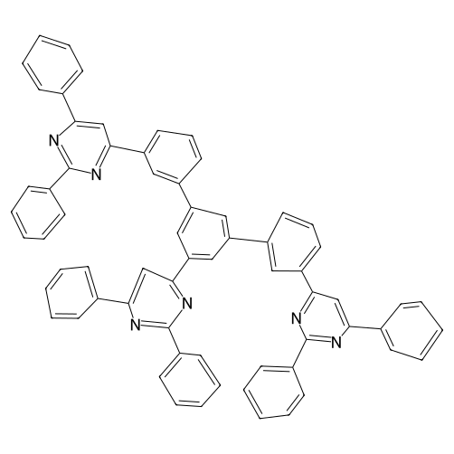 c1ccc(-c2cc(-c3cccc(-c4cc(-c5cccc(-c6cc(-c7ccccc7)nc(-c7ccccc7)n6)c5)cc(-c5cc(-c6ccccc6)nc(-c6ccccc6)n5)c4)c3)nc(-c3ccccc3)n2)cc1